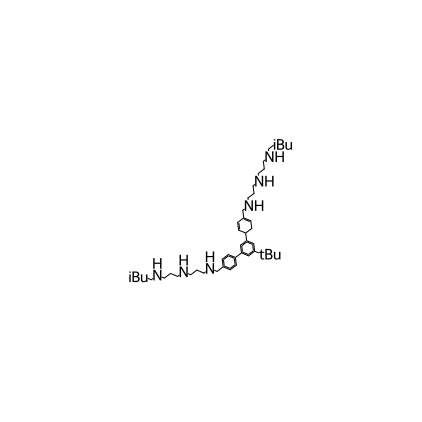 CCC(C)CNCCCNCCCNCC1=CCC(c2cc(-c3ccc(CNCCCNCCCNCC(C)CC)cc3)cc(C(C)(C)C)c2)C=C1